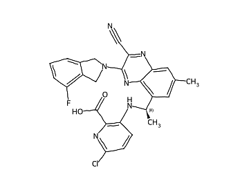 Cc1cc([C@@H](C)Nc2ccc(Cl)nc2C(=O)O)c2nc(N3Cc4cccc(F)c4C3)c(C#N)nc2c1